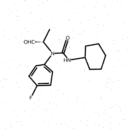 C[C@@H]([C]=O)N(C(=O)NC1CCCCC1)c1ccc(F)cc1